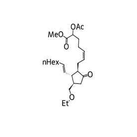 CCCCCC/C=C/[C@H]1[C@H](COCC)CC(=O)[C@@H]1C/C=C\CCC(OC(C)=O)C(=O)OC